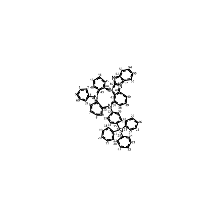 c1ccc(-n2c3ccccc3n(-c3ccc([Si](c4ccccc4)(c4ccccc4)c4ccccc4)cc3)c3cccc4c3n(c3ccccc32)c2nc3ccccc3n42)cc1